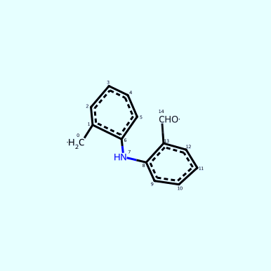 [CH2]c1ccccc1Nc1ccccc1[C]=O